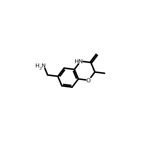 C=C1Nc2cc(CN)ccc2OC1C